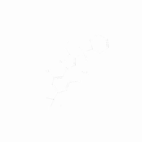 CSc1nn(-c2c(Cl)cc(C(F)(F)F)cc2Cl)c(N)c1S(=O)(=O)c1ccccc1